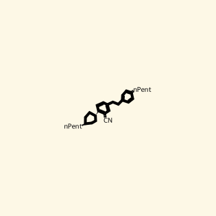 CCCCCc1ccc(CCc2ccc([C@H]3CC[C@H](CCCCC)CC3)c(C#N)c2)cc1